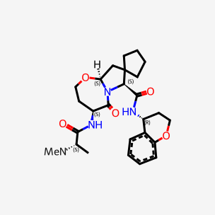 CN[C@@H](C)C(=O)N[C@H]1CCO[C@H]2CC3(CCCC3)[C@@H](C(=O)N[C@@H]3CCOc4ccccc43)N2C1=O